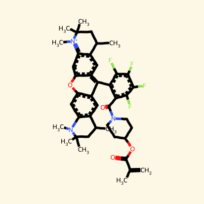 C=C(C)C(=O)OC1CCN(C(=O)c2c(F)c(F)c(F)c(F)c2C2=c3cc4c(cc3Oc3cc5c(cc32)C(C)CC(C)(C)N5C)=[N+](C)C(C)(C)CC4C)CC1